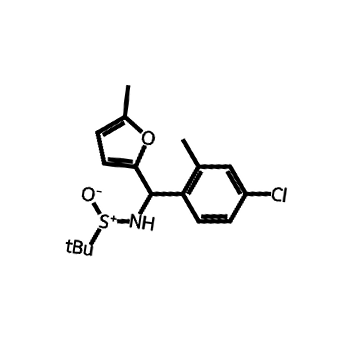 Cc1ccc(C(N[S+]([O-])C(C)(C)C)c2ccc(Cl)cc2C)o1